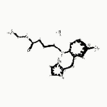 CCOC(=O)CCCOc1ccc(C)cc1Cc1ncc[nH]1.Cl